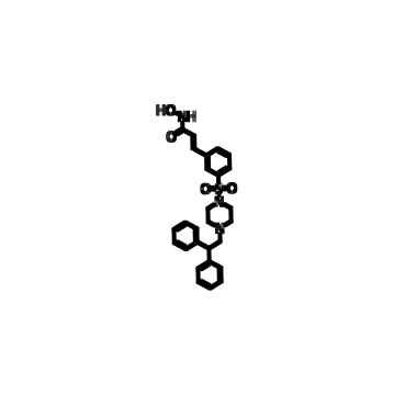 O=C(C=Cc1cccc(S(=O)(=O)N2CCN(CC(c3ccccc3)c3ccccc3)CC2)c1)NO